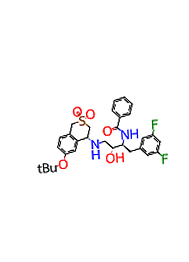 CC(C)(C)Oc1ccc2c(c1)[C@@H](NC[C@@H](O)[C@H](Cc1cc(F)cc(F)c1)NC(=O)c1ccccc1)CS(=O)(=O)C2